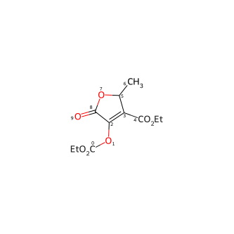 CCOC(=O)OC1=C(C(=O)OCC)C(C)OC1=O